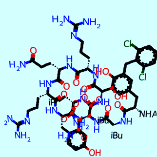 CC[C@H](C)[C@H](NC(=O)[C@H](Cc1ccc(O)c(Cc2c(Cl)cccc2Cl)c1)NC(C)=O)C(=O)N[C@@H](CC(N)=O)C(=O)N[C@@H](CC(C)C)C(=O)N[C@H](C(=O)N[C@@H](C(=O)N[C@@H](CCCN=C(N)N)C(=O)N[C@@H](CCC(N)=O)C(=O)N[C@@H](CCCN=C(N)N)C(=O)N[C@@H](Cc1ccc(O)cc1)C(N)=O)[C@H](C)O)[C@@H](C)CC